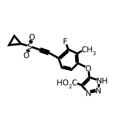 Cc1c(Oc2[nH]nnc2C(=O)O)ccc(C#CS(=O)(=O)C2CC2)c1F